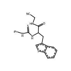 CC(C)NC(=S)NC(Cc1csc2ccccc12)C(=O)NCC#N